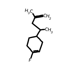 C=C(C)CC(C)C1CC=C(F)CC1